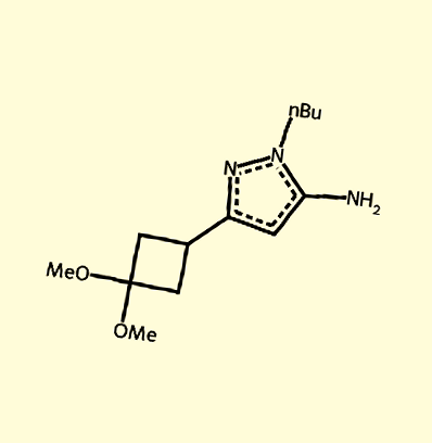 CCCCn1nc(C2CC(OC)(OC)C2)cc1N